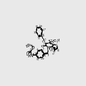 CC(C)(C)OC(=O)Nc1ccc(Cn2c(=O)c(OCc3ccccc3)c(C(=O)O)c3sccc32)cc1